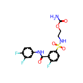 NC(=O)OCCNS(=O)(=O)c1ccc(F)c(C(=O)Nc2ccc(F)c(F)c2)c1